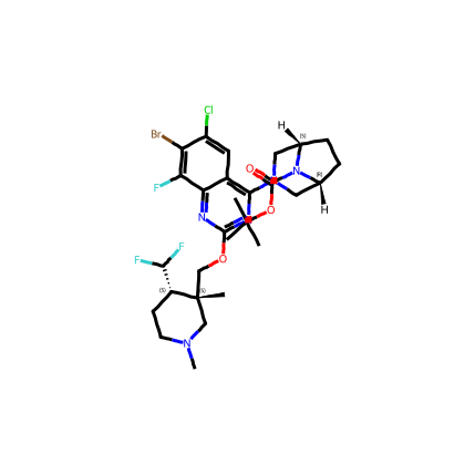 CN1CC[C@H](C(F)F)[C@](C)(COc2nc(N3C[C@H]4CC[C@@H](C3)N4C(=O)OC(C)(C)C)c3cc(Cl)c(Br)c(F)c3n2)C1